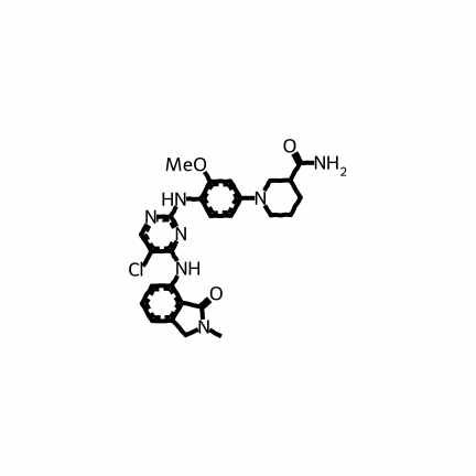 COc1cc(N2CCCC(C(N)=O)C2)ccc1Nc1ncc(Cl)c(Nc2cccc3c2C(=O)N(C)C3)n1